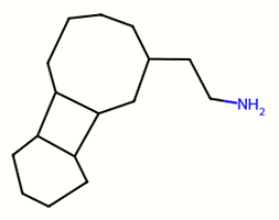 NCCC1CCCCC2C3CCCCC3C2C1